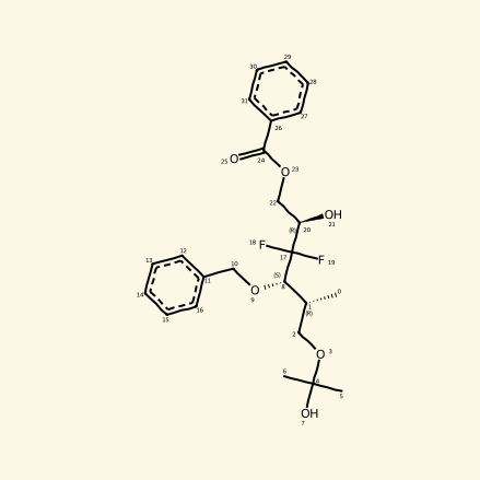 C[C@H](COC(C)(C)O)[C@H](OCc1ccccc1)C(F)(F)[C@H](O)COC(=O)c1ccccc1